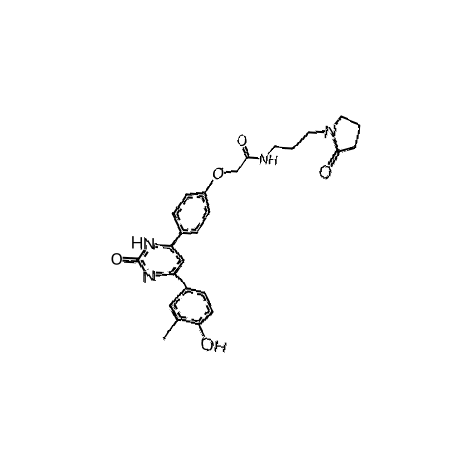 Cc1cc(-c2cc(-c3ccc(OCC(=O)NCCCN4CCCC4=O)cc3)[nH]c(=O)n2)ccc1O